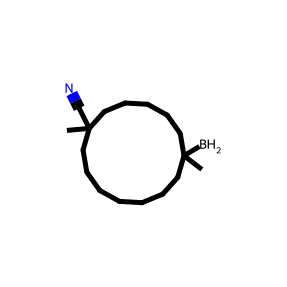 BC1(C)CCCCCCCC(C)(C#N)CCCCC1